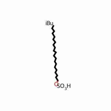 CCC(C)CCCCCCCCCCCCCCCCCCCCCOS(=O)(=O)O